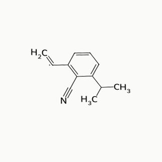 C=[C]c1cccc(C(C)C)c1C#N